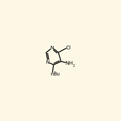 CCCCc1ncnc(Cl)c1N